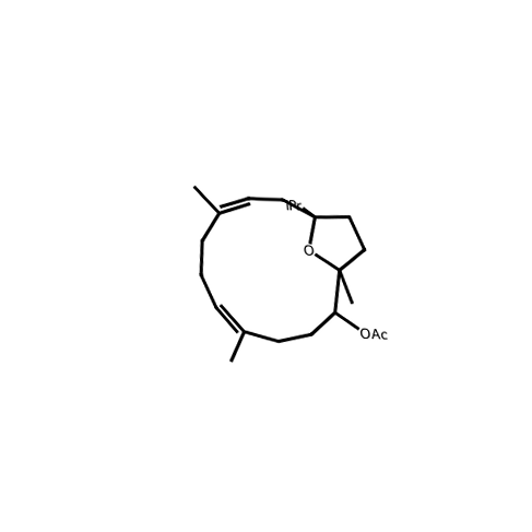 CC(=O)OC1CCC(C)=CCCC(C)=CCC2(C(C)C)CCC1(C)O2